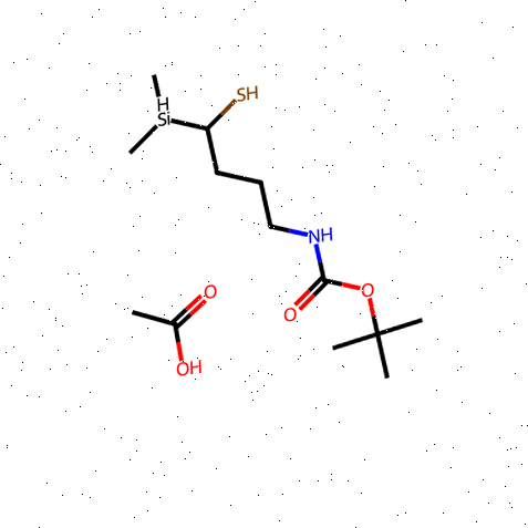 CC(=O)O.C[SiH](C)C(S)CCCNC(=O)OC(C)(C)C